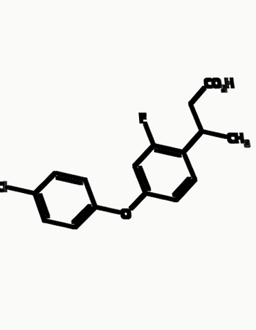 CC(CC(=O)O)c1ccc(Oc2ccc(Cl)cc2)cc1F